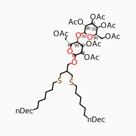 CCCCCCCCCCCCCCCCSCC(CO[C@H]1O[C@H](COC(C)=O)[C@@H](O[C@@H]2O[C@H](COC(C)=O)[C@H](OC(C)=O)[C@H](OC(C)=O)[C@H]2OC(C)=O)[C@H](OC(C)=O)[C@H]1OC(C)=O)CSCCCCCCCCCCCCCCCC